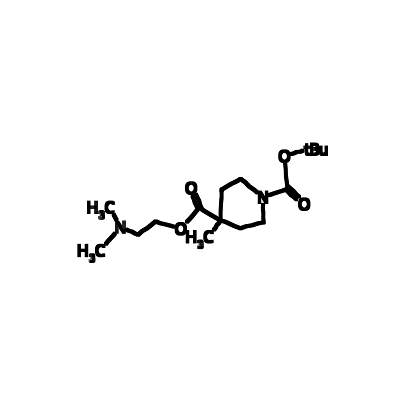 CN(C)CCOC(=O)C1(C)CCN(C(=O)OC(C)(C)C)CC1